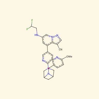 COc1ccc(CN2C3CC2CN(c2ccc(-c4cc(NCC(F)F)cn5ncc(C#N)c45)cn2)C3)cn1